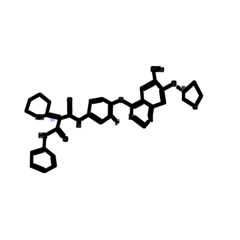 COc1cc2c(Oc3ccc(NC(=O)/C(C(=O)Nc4ccccc4)=C4\CCCCN4)cc3F)ncnc2cc1O[C@@H]1CCOC1